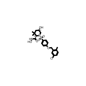 Cc1ccc(Cl)cc1COc1ccc(S(=O)(=O)N2C[C@H](O)CC(C)(C)[C@@H]2C(=O)NO)cc1